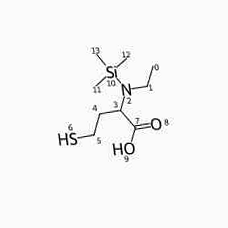 CCN(C(CCS)C(=O)O)[Si](C)(C)C